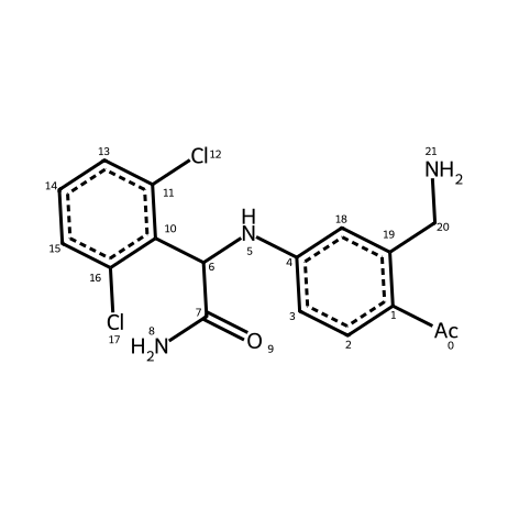 CC(=O)c1ccc(NC(C(N)=O)c2c(Cl)cccc2Cl)cc1CN